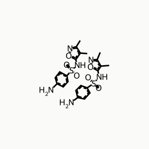 Cc1noc(NS(=O)(=O)c2ccc(N)cc2)c1C.Cc1noc(NS(=O)(=O)c2ccc(N)cc2)c1C